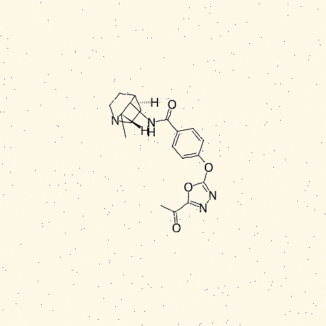 CC(=O)c1nnc(Oc2ccc(C(=O)N[C@@H]3C4CCN(CC4)[C@H]3C)cc2)o1